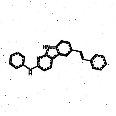 C(=Cc1ccc2[nH]c3nc(Nc4ccccc4)ccc3c2c1)c1ccccc1